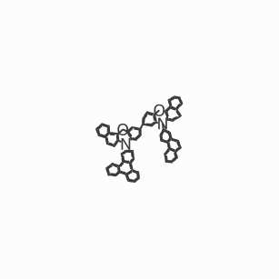 c1ccc2c3c(ccc2c1)N(c1ccc2c4ccccc4c4ccccc4c2c1)c1ccc(-c2ccc4c(c2)N(c2ccc5c(ccc6ccccc65)c2)c2ccc5ccccc5c2O4)cc1O3